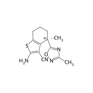 Cc1noc([C@]2(C)CCCc3sc(N)c(C#N)c32)n1